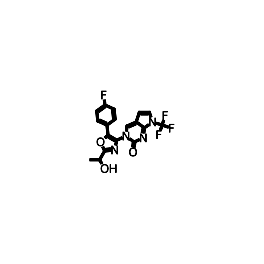 CC(O)c1nc(-n2cc3ccn(C(F)(F)F)c3nc2=O)c(-c2ccc(F)cc2)o1